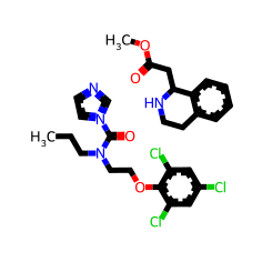 CCCN(CCOc1c(Cl)cc(Cl)cc1Cl)C(=O)n1ccnc1.COC(=O)CC1NCCc2ccccc21